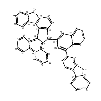 c1ccc2c(-c3ccc4c(c3)oc3ccccc34)nc(-n3c4ccc5oc6ccccc6c5c4c4c5ccccc5c5ccccc5c43)nc2c1